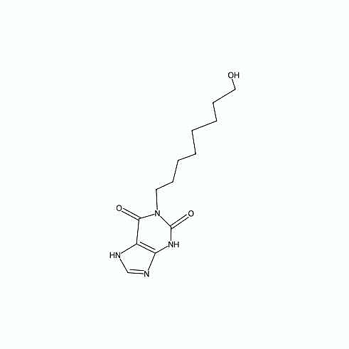 O=c1[nH]c2nc[nH]c2c(=O)n1CCCCCCCCO